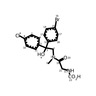 CN(CC(O)(c1ccc(Cl)cc1)c1ccc(Br)cc1)C(=O)CNC(=O)O